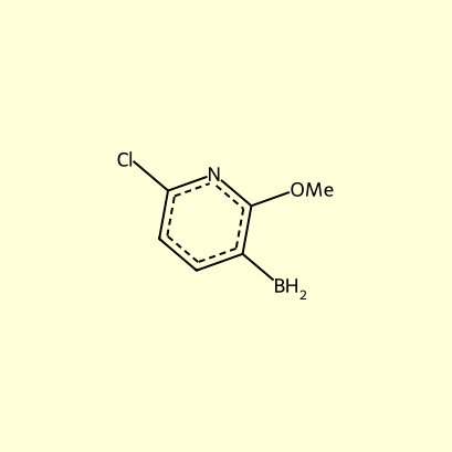 Bc1ccc(Cl)nc1OC